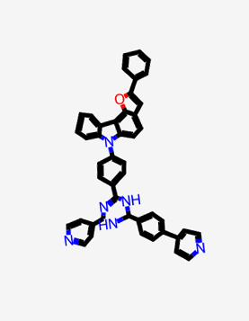 c1ccc(-c2cc3ccc4c(c5ccccc5n4-c4ccc(C5=NC(c6ccncc6)NC(c6ccc(-c7ccncc7)cc6)N5)cc4)c3o2)cc1